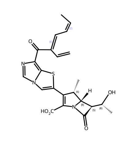 C=C/C(=C\C=C/C)C(=O)c1ncn2cc(C3=C(C(=O)O)N4C(=O)[C@H]([C@@H](C)O)[C@H]4[C@H]3C)sc12